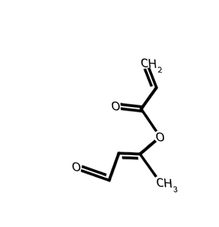 C=CC(=O)OC(C)=CC=O